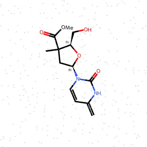 C=C1C=CN([C@H]2CC(C)(C(=O)OC)[C@@H](CO)O2)C(=O)N1